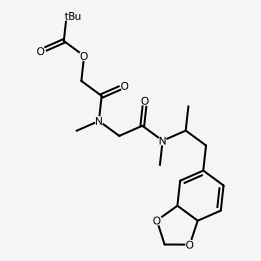 CC(CC1=CC2OCOC2C=C1)N(C)C(=O)CN(C)C(=O)COC(=O)C(C)(C)C